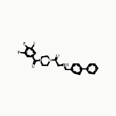 O=C(CNCc1ccc(-c2ccccc2)cc1)N1CCN(C(=O)c2cc(F)c(F)c(F)c2)CC1